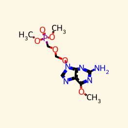 COc1nc(N)nc2c1ncn2OCOCP(=O)(OC)OC